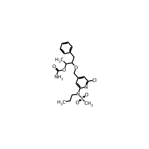 CCCN(c1cc(COC(Cc2ccccc2)C(C)OC(N)=O)cc(Cl)n1)S(C)(=O)=O